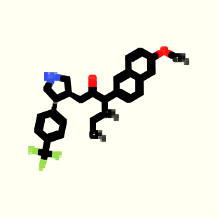 CC[SiH2]C(C(=O)C[C@@H]1CNC[C@H]1c1ccc(C(F)(F)F)cc1)c1ccc2cc(OC)ccc2c1